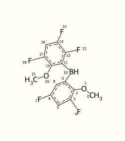 COc1c(F)cc(F)cc1Bc1c(F)c(F)cc(F)c1OC